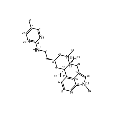 Cc1cnc(NCC[C@@H]2C[C@@H]3c4cccc5c4c(cn5C)C[C@H]3N(C)C2)nc1